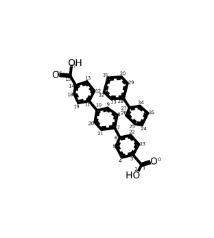 O=C(O)c1ccc(-c2ccc(-c3ccc(C(=O)O)cc3)cc2)cc1.c1ccc(-c2ccccc2)cc1